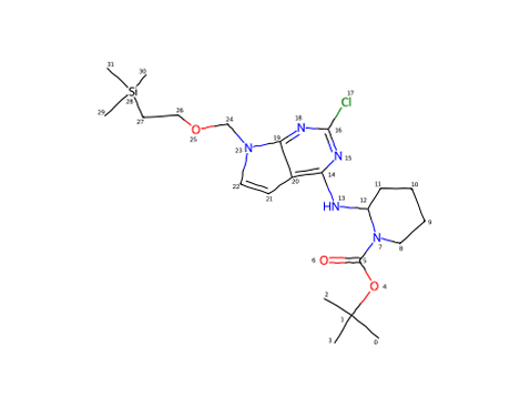 CC(C)(C)OC(=O)N1CCCCC1Nc1nc(Cl)nc2c1ccn2COCC[Si](C)(C)C